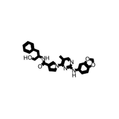 Cc1cnc(Nc2ccc3c(c2)OCO3)nc1-n1ccc(C(=O)NC(CO)Cc2ccccc2)c1